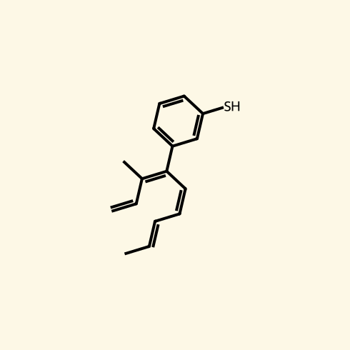 C=C\C(C)=C(/C=C\C=C\C)c1cccc(S)c1